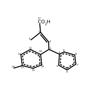 CC(=CC(c1ccccc1)c1ccc(C)cc1)C(=O)O